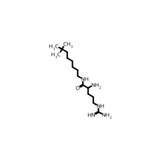 CC(C)(C)CCCCCCNC(=O)C(N)CCCNC(=N)N